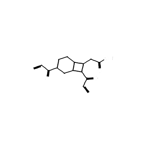 C=CC(=O)C1CCC2C(CC(=O)O)C(C(=O)C=C)C2C1